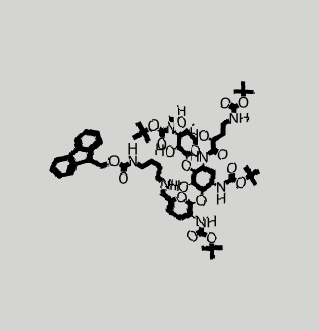 CN(C(=O)OC(C)(C)C)[C@@H]1[C@@H](O)[C@@H](O[C@@H]2[C@@H](O)[C@H](O[C@H]3OC(CNCCCCNC(=O)OCC4c5ccccc5-c5ccccc54)=CC[C@H]3NC(=O)OC(C)(C)C)[C@@H](NC(=O)OC(C)(C)C)C[C@H]2NC(=O)[C@@H](O)CCNC(=O)OC(C)(C)C)OC[C@]1(C)O